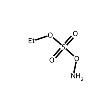 CCOS(=O)(=O)ON